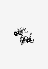 Cn1nc(Cn2cnc(C(F)(F)F)c(Oc3cc(Cl)cc(C#N)c3)c2=O)cc(-c2ccccc2)c1=O